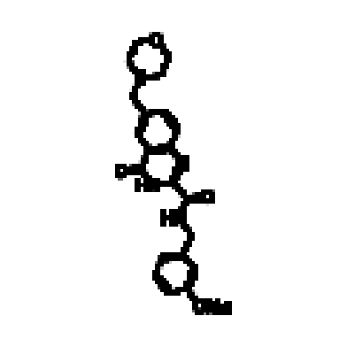 COc1cccc(CNC(=O)c2nc3ccc(CN4CCOCC4)cc3c(=O)[nH]2)c1